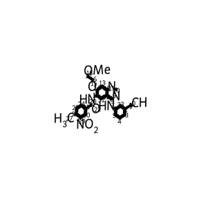 C#Cc1cccc(Nc2ncnc3cc(OCCOC)c(NC(=O)c4ccc(C)c([N+](=O)[O-])c4)cc23)c1